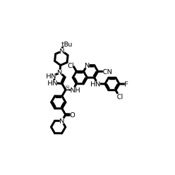 CC(C)(C)N1CCC(N2C=C([C@@H](Nc3cc(Cl)c4ncc(C#N)c(Nc5ccc(F)c(Cl)c5)c4c3)c3cccc(C(=O)N4CCCCC4)c3)NN2)CC1